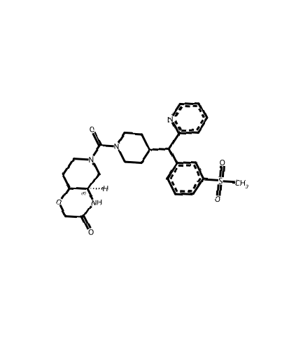 CS(=O)(=O)c1cccc(C(c2ccccn2)C2CCN(C(=O)N3CCC4OCC(=O)N[C@@H]4C3)CC2)c1